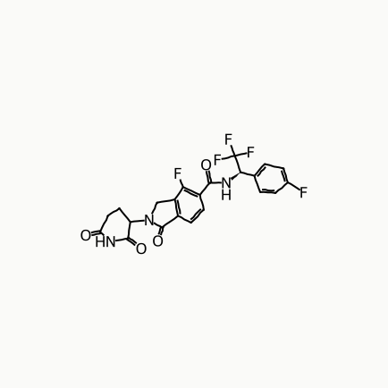 O=C1CCC(N2Cc3c(ccc(C(=O)N[C@H](c4ccc(F)cc4)C(F)(F)F)c3F)C2=O)C(=O)N1